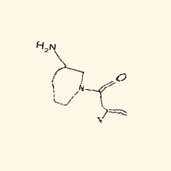 C=C(F)C(=O)N1CCCC(N)C1